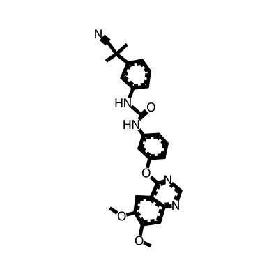 COc1cc2ncnc(Oc3cccc(NC(=O)Nc4cccc(C(C)(C)C#N)c4)c3)c2cc1OC